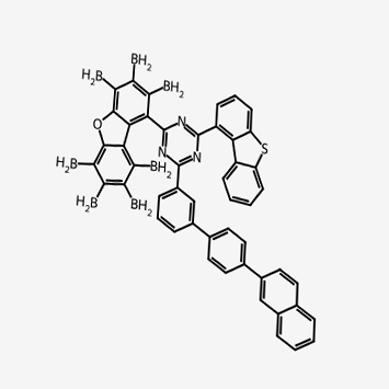 Bc1c(B)c(B)c2c(oc3c(B)c(B)c(B)c(-c4nc(-c5cccc(-c6ccc(-c7ccc8ccccc8c7)cc6)c5)nc(-c5cccc6sc7ccccc7c56)n4)c32)c1B